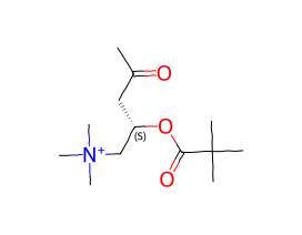 CC(=O)C[C@@H](C[N+](C)(C)C)OC(=O)C(C)(C)C